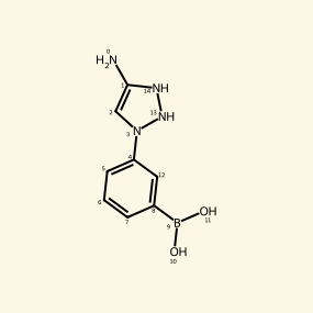 NC1=CN(c2cccc(B(O)O)c2)NN1